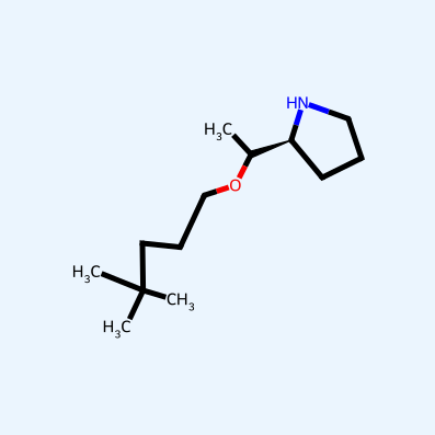 CC(OCCCC(C)(C)C)[C@@H]1CCCN1